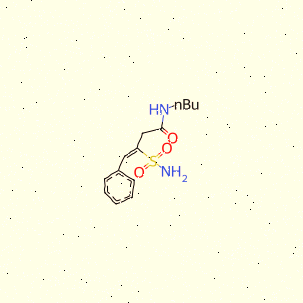 CCCCNC(=O)CC(=Cc1ccccc1)S(N)(=O)=O